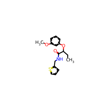 CCC(Oc1cccc(OC)c1)C(=O)NCc1cccs1